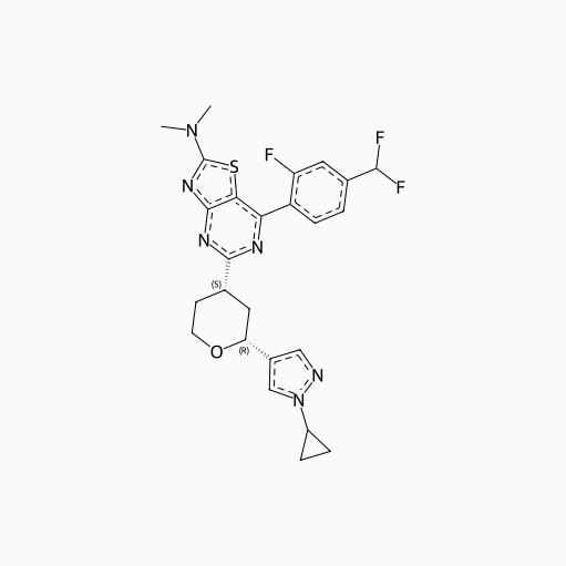 CN(C)c1nc2nc([C@H]3CCO[C@@H](c4cnn(C5CC5)c4)C3)nc(-c3ccc(C(F)F)cc3F)c2s1